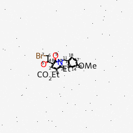 CCOC(=O)c1cc(C(=O)CBr)c(=O)n(Cc2ccc(OC)cc2)c1CC